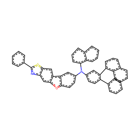 c1ccc(-c2nc3cc4oc5ccc(N(c6ccc(-c7ccccc7)c(-c7cccc8ccccc78)c6)c6cccc7ccccc67)cc5c4cc3s2)cc1